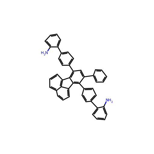 Nc1ccccc1-c1ccc(-c2cc(-c3ccccc3)c(-c3ccc(-c4ccccc4N)cc3)c3c2-c2cccc4cccc-3c24)cc1